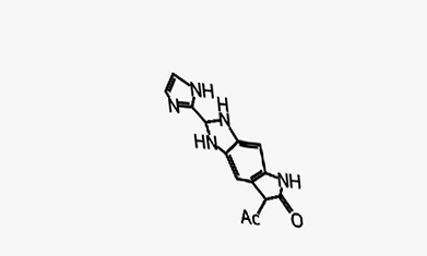 CC(=O)C1C(=O)Nc2cc3c(cc21)NC(c1ncc[nH]1)N3